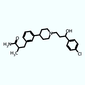 CC(Cc1cccc(C2CCN(CCC(O)c3ccc(Cl)cc3)CC2)c1)C(N)=O